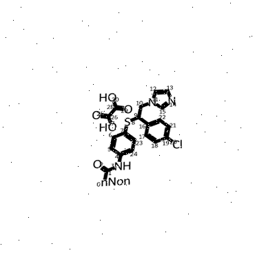 CCCCCCCCCC(=O)Nc1ccc(SC(Cn2ccnc2)c2ccc(Cl)cc2)cc1.O=C(O)C(=O)O